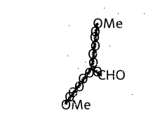 COCCOCOCCOCCOCCOCC(C)(COCC=O)COCCOCCOCCOCOCCOC